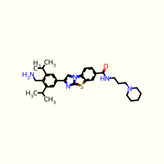 CC(C)c1cc(-c2cn3c(n2)sc2cc(C(=O)NCCCN4CCCCC4)ccc23)cc(C(C)C)c1CN